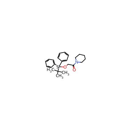 CC(C)(C)[Si](OCC(=O)N1CCCCC1)(c1ccccc1)c1ccccc1